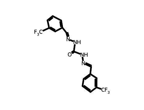 O=C(NN=Cc1cccc(C(F)(F)F)c1)NN=Cc1cccc(C(F)(F)F)c1